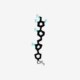 CC1CCC(c2ccc(/C=C/c3ccc(-c4cc(F)c(CF)c(F)c4)c(F)c3)c(F)c2)CC1